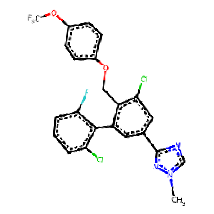 Cn1cnc(-c2cc(Cl)c(COc3ccc(OC(F)(F)F)cc3)c(-c3c(F)cccc3Cl)c2)n1